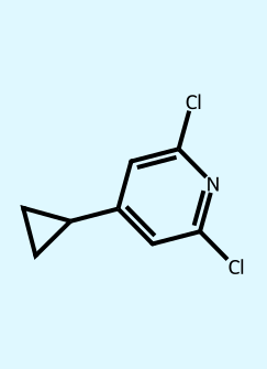 Clc1cc(C2CC2)cc(Cl)n1